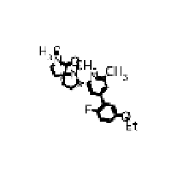 CCOc1ccc(F)c(-c2cc(C)nc([C@@H]3CC[C@]4(CCN(C)C4=O)N3C)c2)c1